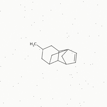 CC1CC2CC34C=CC(C3)C2C4C1